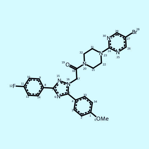 COc1ccc(-c2nc(-c3ccc(F)cc3)nn2CC(=O)N2CCN(c3ncc(Br)cn3)CC2)cc1